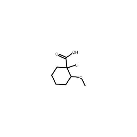 COC1CCCCC1(Cl)C(=O)O